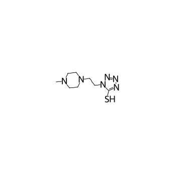 CN1CCN(CCn2nnnc2S)CC1